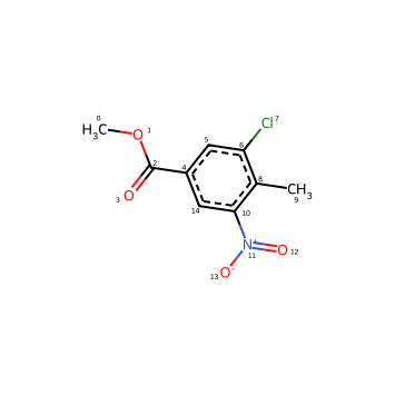 COC(=O)c1cc(Cl)c(C)c([N+](=O)[O-])c1